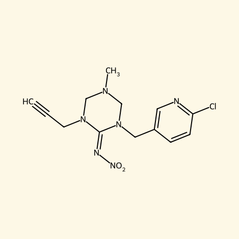 C#CCN1CN(C)CN(Cc2ccc(Cl)nc2)/C1=N\[N+](=O)[O-]